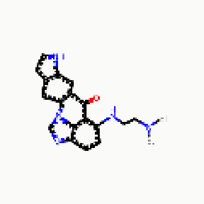 CCN(CC)CCNc1ccc2ncn3c4cc5cc[nH]c5cc4c(=O)c1c23